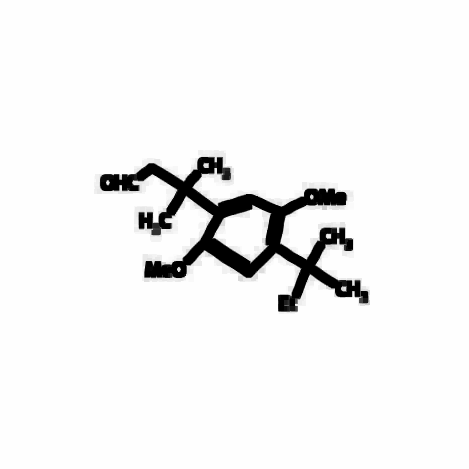 CCC(C)(C)c1cc(OC)c(C(C)(C)CC=O)cc1OC